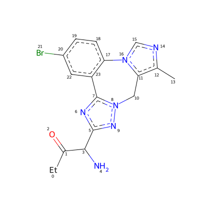 CCC(=O)C(N)c1nc2n(n1)Cc1c(C)ncn1-c1ccc(Br)cc1-2